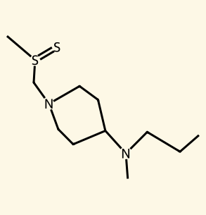 CCCN(C)C1CCN(CS(C)=S)CC1